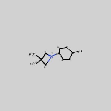 CCCC1(C(F)(F)F)CN(C2CCC(CC)CC2)C1